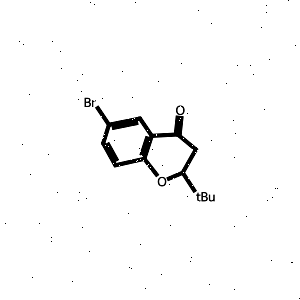 CC(C)(C)C1CC(=O)c2cc(Br)ccc2O1